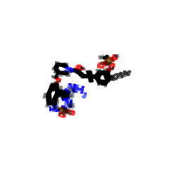 COc1ccc(C(C)(C)CC(=O)N2CCC[C@H](COc3cccc4c3C(N)=NS(=O)(=O)N4)C2)cc1OS(C)(=O)=O